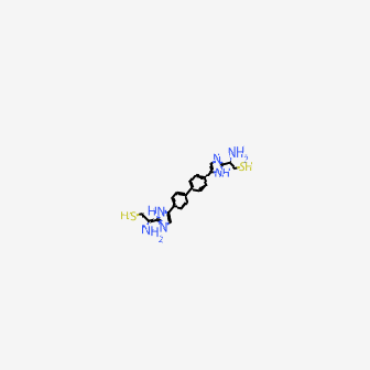 N[C@@H](CS)c1ncc(-c2ccc(-c3ccc(-c4cnc([C@@H](N)CS)[nH]4)cc3)cc2)[nH]1